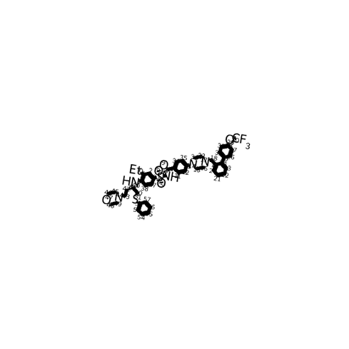 CCc1cc(S(=O)(=O)NC(=O)c2ccc(N3CCN(Cc4ccccc4-c4ccc(OC(F)(F)F)cc4)CC3)cc2)ccc1N[C@H](CCN1CCOCC1)CSc1ccccc1